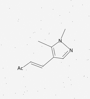 CC(=O)C=Cc1cnn(C)c1C